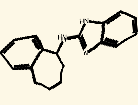 c1ccc2c(c1)CCCCC2Nc1nc2ccccc2[nH]1